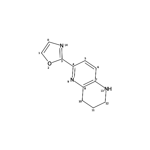 c1coc(-c2ccc3c(n2)CCCN3)n1